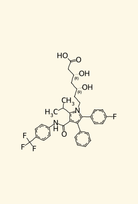 CC(C)c1c(C(=O)Nc2ccc(C(F)(F)F)cc2)c(-c2ccccc2)c(-c2ccc(F)cc2)n1CC[C@@H](O)C[C@@H](O)CC(=O)O